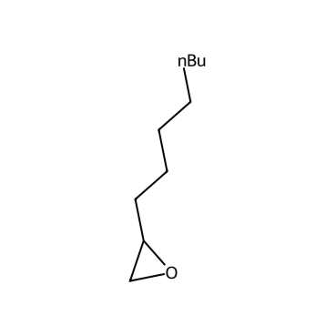 [CH2]CCCCCCCC1CO1